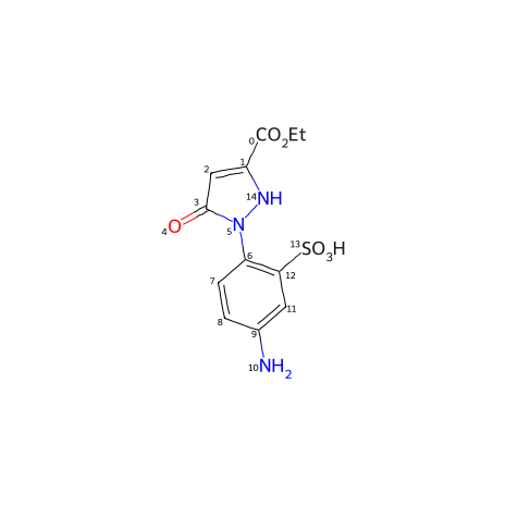 CCOC(=O)c1cc(=O)n(-c2ccc(N)cc2S(=O)(=O)O)[nH]1